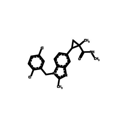 CNC(=O)C1(C)CC1c1ccc2c(c1)nc(C)n2Cc1cc(Cl)ccc1Cl